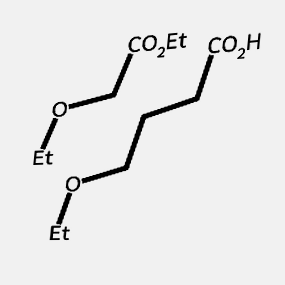 CCOCC(=O)OCC.CCOCCCC(=O)O